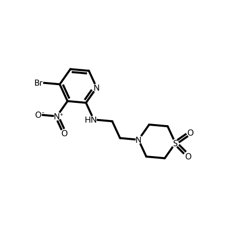 O=[N+]([O-])c1c(Br)ccnc1NCCN1CCS(=O)(=O)CC1